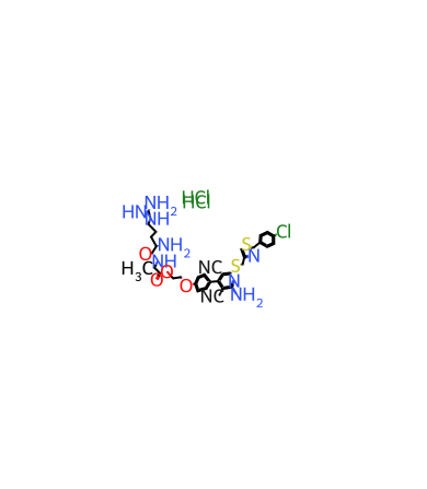 C[C@H](NC(=O)[C@@H](N)CCCNC(=N)N)C(=O)OCCOc1ccc(-c2c(C#N)c(N)nc(SCc3csc(-c4ccc(Cl)cc4)n3)c2C#N)cc1.Cl.Cl